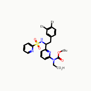 CCc1ccc(CC(NS(=O)(=O)c2ccccn2)c2cccc(N(CC(=O)O)C(=O)OC(C)(C)C)n2)cc1CC